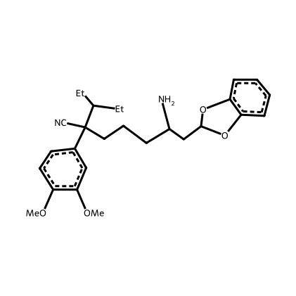 CCC(CC)C(C#N)(CCCC(N)CC1Oc2ccccc2O1)c1ccc(OC)c(OC)c1